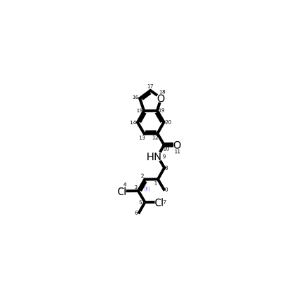 CC(/C=C(/Cl)C(C)Cl)CNC(=O)c1ccc2ccoc2c1